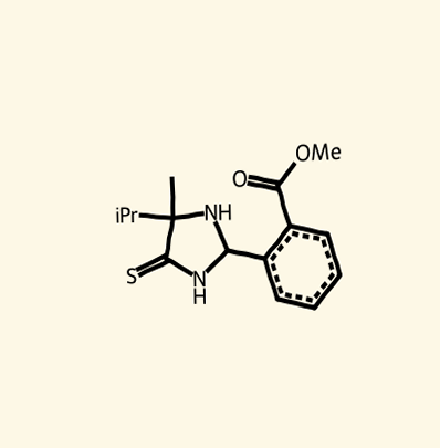 COC(=O)c1ccccc1C1NC(=S)C(C)(C(C)C)N1